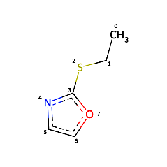 CCSc1ncco1